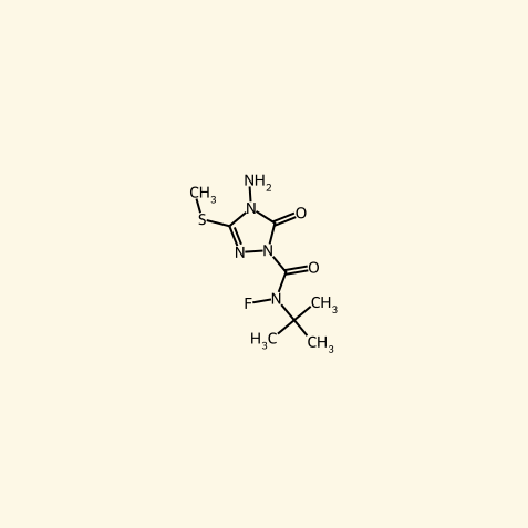 CSc1nn(C(=O)N(F)C(C)(C)C)c(=O)n1N